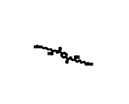 CCCCCCCCCCCCCCC(O)COC(=O)c1ccc(C(=O)OCC(O)CCCCCCCCCCCCCC)cc1